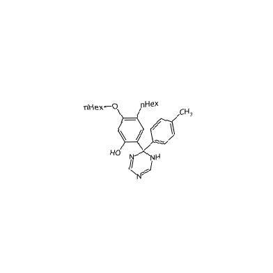 CCCCCCOc1cc(O)c(C2(c3ccc(C)cc3)N=CN=CN2)cc1CCCCCC